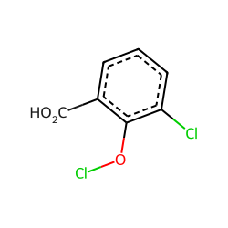 O=C(O)c1cccc(Cl)c1OCl